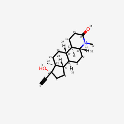 C#C[C@]1(O)CC[C@H]2[C@@H]3CC[C@H]4N(C)C(=O)CC[C@]4(C)[C@H]3CC[C@@]21C